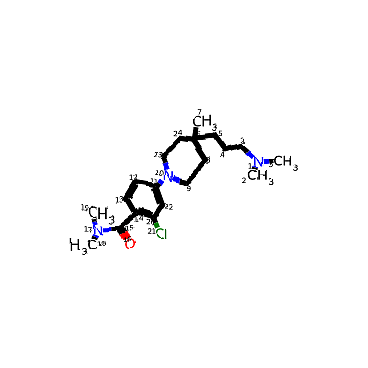 CN(C)CCCC1(C)CCN(c2ccc(C(=O)N(C)C)c(Cl)c2)CC1